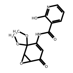 COC1(OC)C(NC(=O)c2cccnc2O)=CC(=O)C2OC21